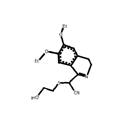 CCOc1cc2c(cc1OCC)C(C(C#N)SCCO)=NCC2